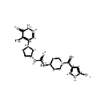 Cc1cc(C(=O)N2CCC(NC(=O)O[C@@H]3CCN(c4cn[nH]c(=O)c4Cl)C3)CC2)no1